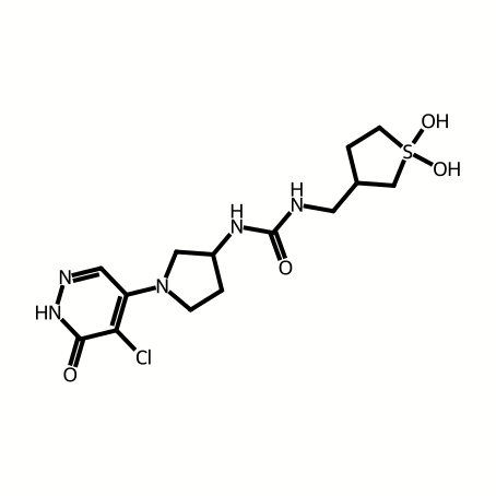 O=C(NCC1CCS(O)(O)C1)NC1CCN(c2cn[nH]c(=O)c2Cl)C1